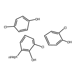 CCCCCCCc1cccc(Cl)c1O.Oc1ccc(Cl)cc1.Oc1ccccc1Cl